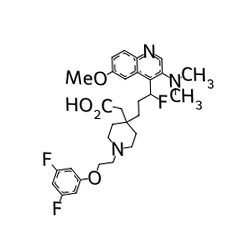 COc1ccc2ncc(N(C)C)c(C(F)CCC3(CC(=O)O)CCN(CCOc4cc(F)cc(F)c4)CC3)c2c1